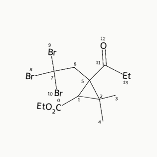 CCOC(=O)C1C(C)(C)C1(CC(Br)(Br)Br)C(=O)CC